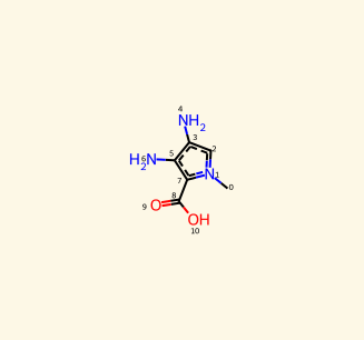 Cn1cc(N)c(N)c1C(=O)O